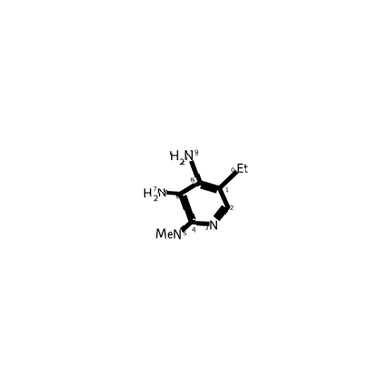 CCc1cnc(NC)c(N)c1N